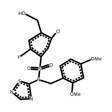 COc1ccc(CN(c2ncns2)S(=O)(=O)c2cc(Cl)c(CO)cc2F)c(OC)c1